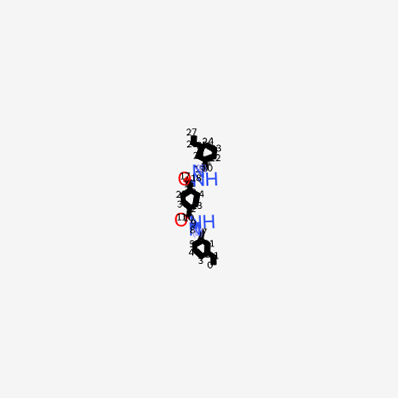 C=Cc1cccc(/C=N/NC(=O)c2ccc(C(=O)N/N=C/c3cccc(C=C)c3)cc2)c1